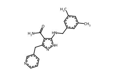 Cc1cc(C)cc(CNc2[nH]nc(Cc3cccnc3)c2C(N)=O)c1